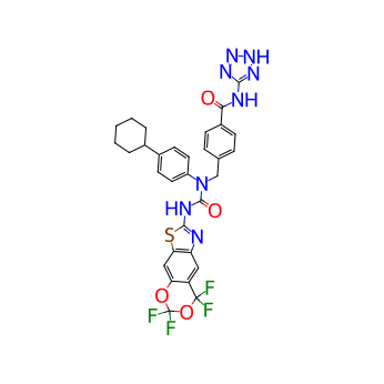 O=C(Nc1nn[nH]n1)c1ccc(CN(C(=O)Nc2nc3cc4c(cc3s2)OC(F)(F)OC4(F)F)c2ccc(C3CCCCC3)cc2)cc1